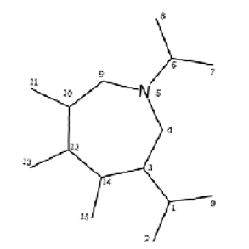 CC(C)C1CN(C(C)C)CC(C)C(C)C1C